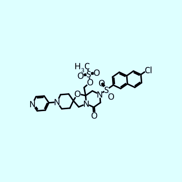 CS(=O)(=O)OCC12CN(S(=O)(=O)c3ccc4cc(Cl)ccc4c3)CC(=O)N1CC1(CCN(c3ccncc3)CC1)O2